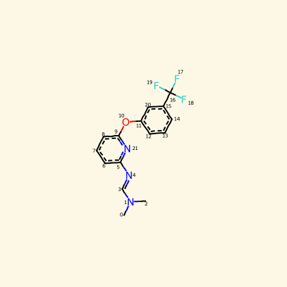 CN(C)C=Nc1cccc(Oc2cccc(C(F)(F)F)c2)n1